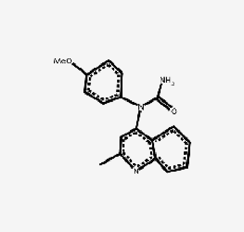 COc1ccc(N(C(N)=O)c2cc(C)nc3ccccc23)cc1